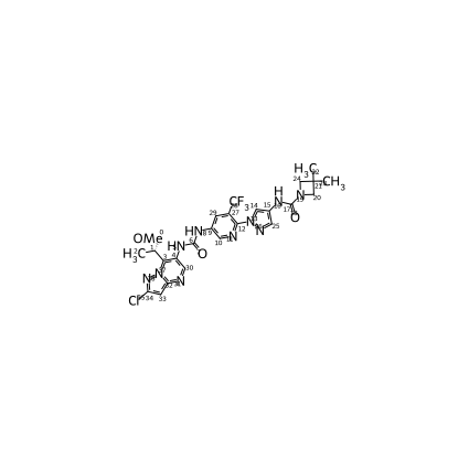 CO[C@@H](C)c1c(NC(=O)Nc2cnc(-n3cc(NC(=O)N4CC(C)(C)C4)cn3)c(C(F)(F)F)c2)cnc2cc(Cl)nn12